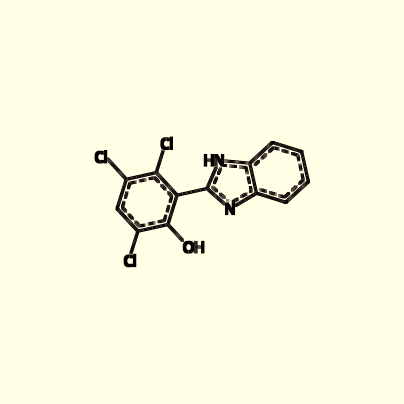 Oc1c(Cl)cc(Cl)c(Cl)c1-c1nc2ccccc2[nH]1